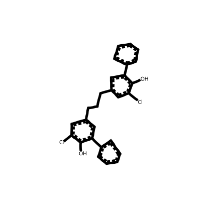 Oc1c(Cl)cc(CCCc2cc(Cl)c(O)c(-c3ccccc3)c2)cc1-c1ccccc1